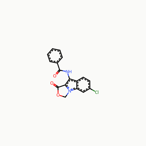 O=C(Nc1c2n(c3cc(Cl)ccc13)COC2=O)c1ccccc1